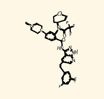 CN1CCN(c2ccc(C(=O)Nc3n[nH]c4ncc(Cc5cc(F)cc(F)c5)cc34)c(N(C(=O)C(F)(F)F)C3CCOCC3)c2)CC1